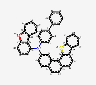 c1ccc(-c2ccc(N(c3ccc4ccc5ccc6c7ccccc7sc6c5c4c3)c3cccc4oc5ccccc5c34)cc2)cc1